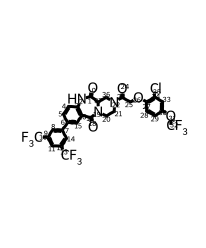 O=C1Nc2ccc(-c3cc(C(F)(F)F)cc(C(F)(F)F)c3)cc2C(=O)N2CCN(C(=O)COc3ccc(OC(F)(F)F)cc3Cl)CC12